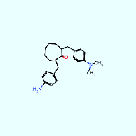 CN(C)c1ccc(CC2CCCCCC(Cc3ccc(N)cc3)C2=O)cc1